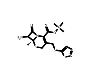 C[Si](C)(C)OC(=O)C1=C(CSc2cnns2)CS[C@H]2C(N)C(=O)N12